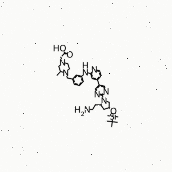 CC1CN(CC(=O)O)CCN1Cc1cccc(Nc2cc(-c3cnc(N4CC(O[Si](C)(C)C(C)(C)C)CC4CCN)nc3)ccn2)c1